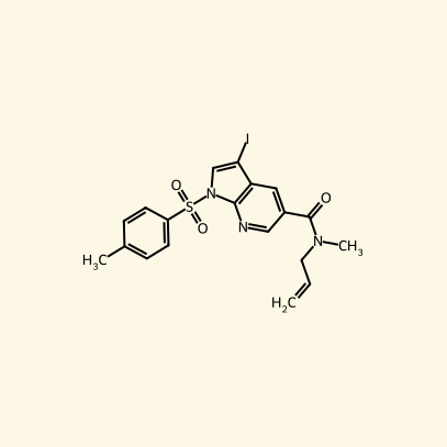 C=CCN(C)C(=O)c1cnc2c(c1)c(I)cn2S(=O)(=O)c1ccc(C)cc1